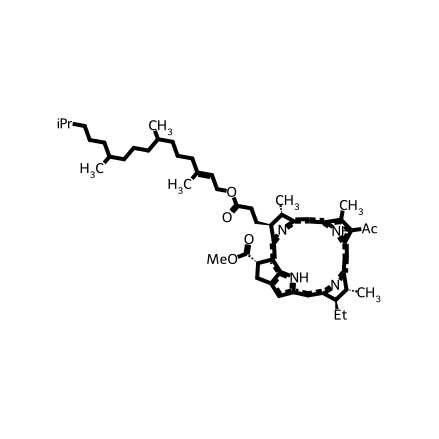 CC[C@H]1c2cc3cc4c([nH]3)c(c3nc(cc5[nH]c(cc(n2)[C@@H]1C)c(C(C)=O)c5C)[C@@H](C)[C@@H]3CCC(=O)OC/C=C(\C)CCCC(C)CCCC(C)CCCC(C)C)[C@@H](C(=O)OC)C4